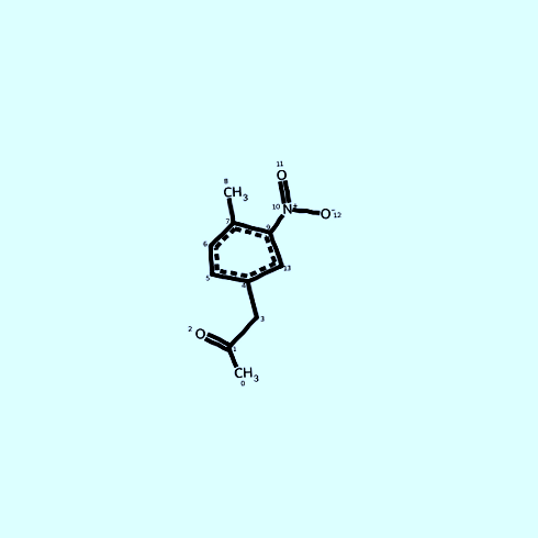 CC(=O)Cc1ccc(C)c([N+](=O)[O-])c1